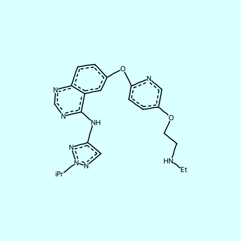 CCNCCOc1ccc(Oc2ccc3ncnc(Nc4cnn(C(C)C)n4)c3c2)nc1